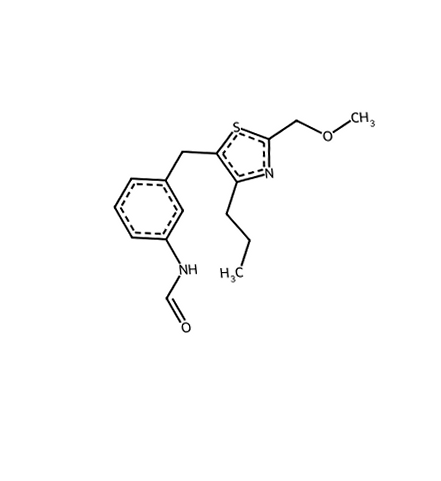 CCCc1nc(COC)sc1Cc1cccc(NC=O)c1